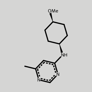 CO[C@H]1CC[C@@H](Nc2cc(C)ncn2)CC1